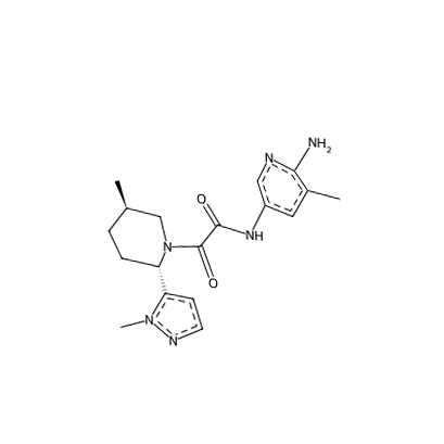 Cc1cc(NC(=O)C(=O)N2C[C@H](C)CC[C@H]2c2ccnn2C)cnc1N